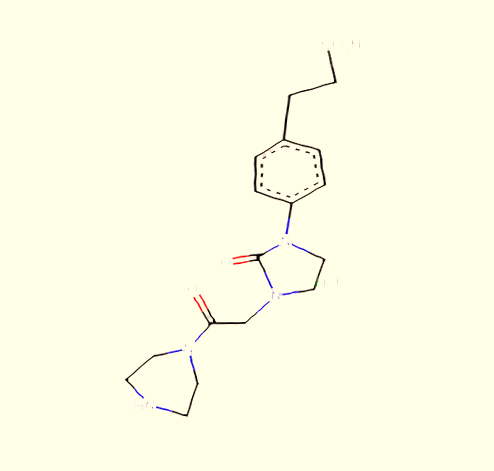 Cl.O=C(O)CCc1ccc(N2CCN(CC(=O)N3CCNCC3)C2=O)cc1